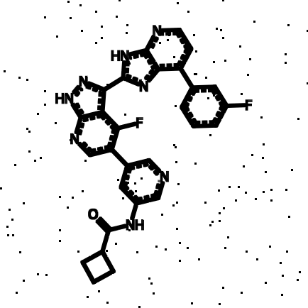 O=C(Nc1cncc(-c2cnc3[nH]nc(-c4nc5c(-c6cccc(F)c6)ccnc5[nH]4)c3c2F)c1)C1CCC1